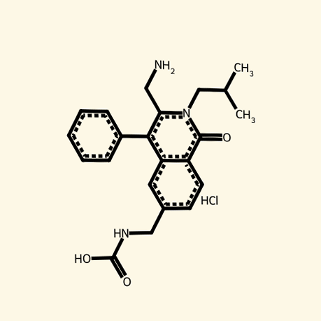 CC(C)Cn1c(CN)c(-c2ccccc2)c2cc(CNC(=O)O)ccc2c1=O.Cl